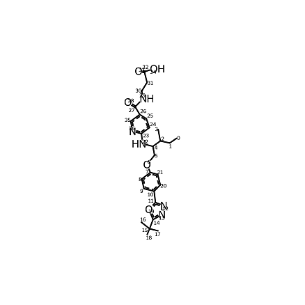 CCC(C)C(COc1ccc(-c2nnc(C(C)(C)C)o2)cc1)Nc1ccc(C(=O)NCCC(=O)O)cn1